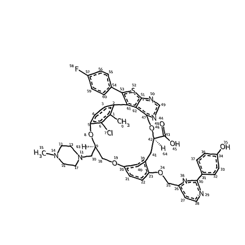 Cc1c2ccc(c1Cl)O[C@H](CN1CCN(C)CC1)COc1ccc(OCc3ccnc(-c4ccc(O)cc4)n3)c(c1)C[C@H](C(=O)O)Oc1ncnc3sc(-c4ccc(F)cc4)c-2c13